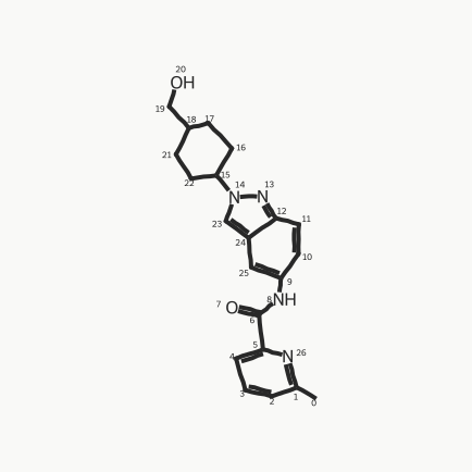 Cc1cccc(C(=O)Nc2ccc3nn(C4CCC(CO)CC4)cc3c2)n1